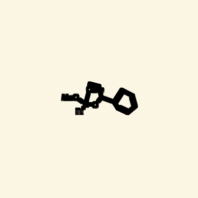 C=CC(O[Si](CC)(OC)OC)c1ccccc1